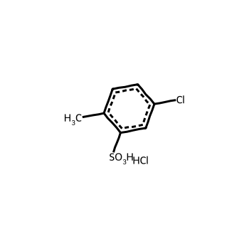 Cc1ccc(Cl)cc1S(=O)(=O)O.Cl